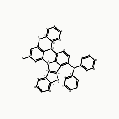 Cc1cc2c3c(c1)-n1c4c(ccc(N(c5ccccc5)c5ccccc5)c4c4oc5ccccc5c41)B3c1ccccc1S2